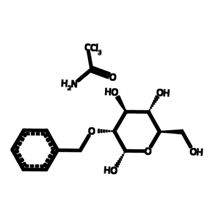 NC(=O)C(Cl)(Cl)Cl.OC[C@H]1O[C@H](O)[C@H](OCc2ccccc2)[C@@H](O)[C@@H]1O